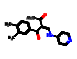 COC(=O)C(=CNc1ccncc1)C(=O)c1ccc(C)c(C)c1